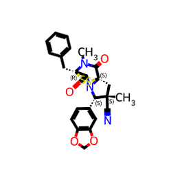 CN1C(=O)[C@@]23C[C@](C)(C#N)[C@H](c4ccc5c(c4)OCO5)N2C(=O)[C@@]1(Cc1ccccc1)SS3